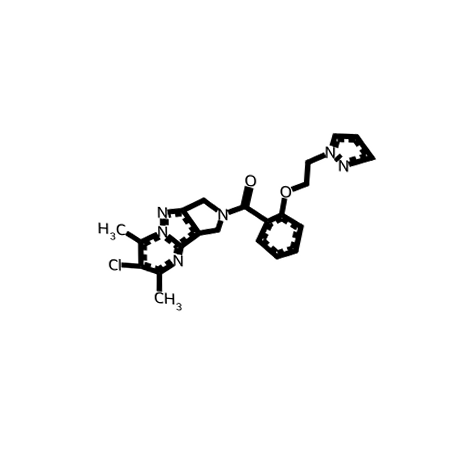 Cc1nc2c3c(nn2c(C)c1Cl)CN(C(=O)c1ccccc1OCCn1cccn1)C3